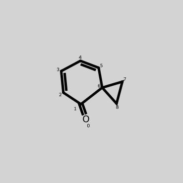 O=C1C=CC=CC12CC2